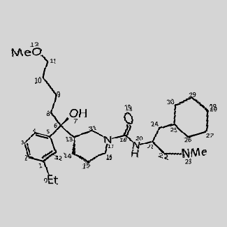 CCc1cccc([C@](O)(CCCCOC)[C@@H]2CCCN(C(=O)NC(CNC)CC3CCCCC3)C2)c1